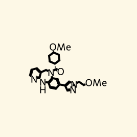 COCCn1cc(-c2ccc3c(c2)N(C(=O)[C@H]2CC[C@H](OC)CC2)Cc2cccnc2N3)cn1